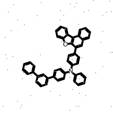 c1ccc(-c2cccc(-c3ccc(N(c4ccccc4)c4ccc(-c5cc6ccccc6c6c5oc5ccccc56)cc4)cc3)c2)cc1